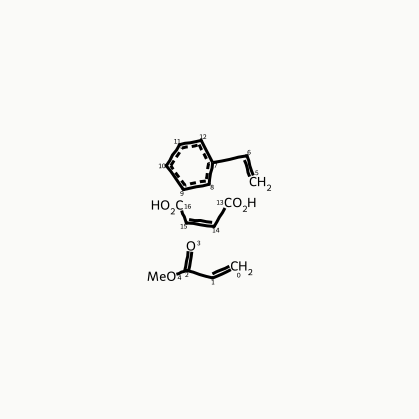 C=CC(=O)OC.C=Cc1ccccc1.O=C(O)/C=C\C(=O)O